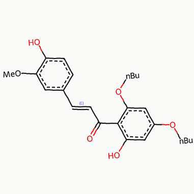 CCCCOc1cc(O)c(C(=O)/C=C/c2ccc(O)c(OC)c2)c(OCCCC)c1